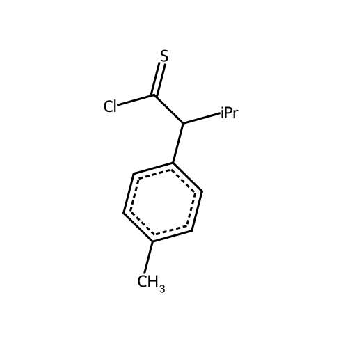 Cc1ccc(C(C(=S)Cl)C(C)C)cc1